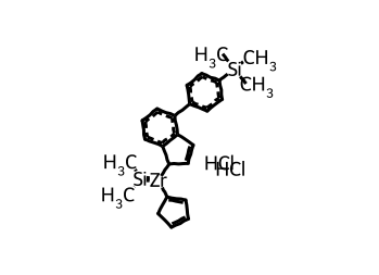 C[Si](C)=[Zr]([C]1=CC=CC1)[CH]1C=Cc2c(-c3ccc([Si](C)(C)C)cc3)cccc21.Cl.Cl